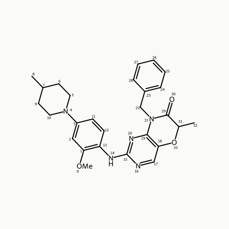 COc1cc(N2CCC(C)CC2)ccc1Nc1ncc2c(n1)N(Cc1ccccc1)C(=O)C(C)O2